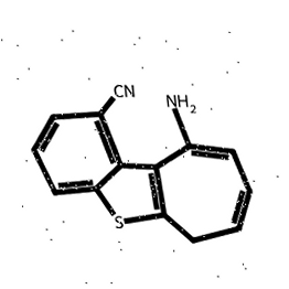 N#Cc1cccc2sc3c(c12)C(N)=CC=CC3